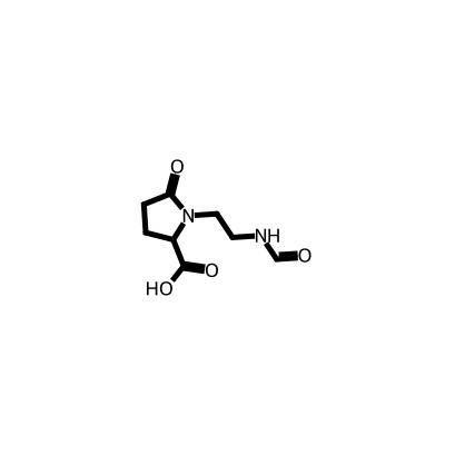 O=CNCCN1C(=O)CCC1C(=O)O